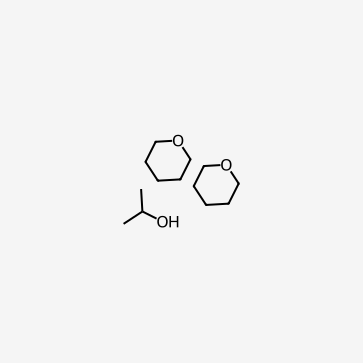 C1CCOCC1.C1CCOCC1.CC(C)O